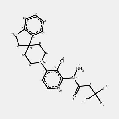 NN(C(=O)CC(F)(F)F)c1nccc(N2CCC3(CC2)COc2ccccc23)c1Cl